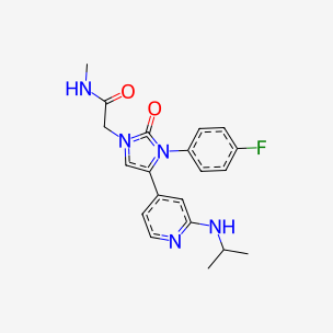 CNC(=O)Cn1cc(-c2ccnc(NC(C)C)c2)n(-c2ccc(F)cc2)c1=O